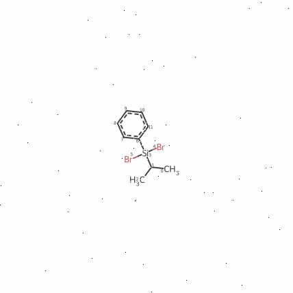 CC(C)[Si](Br)(Br)c1ccccc1